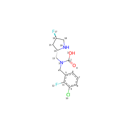 O=C(O)N(Cc1cccc(Cl)c1F)C[C@@H]1C[C@@H](F)CN1